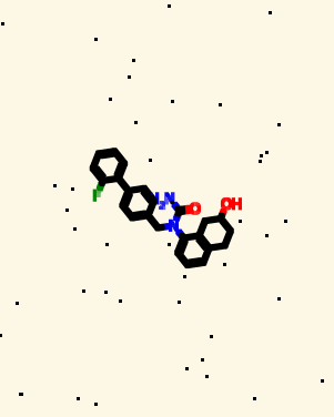 NC(=O)N(Cc1ccc(-c2ccccc2F)cc1)c1cccc2c1CC(O)CC2